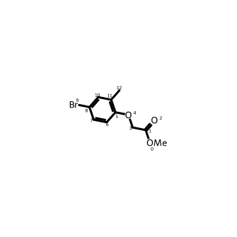 COC(=O)COc1ccc(Br)cc1C